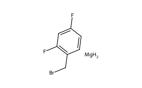 Fc1ccc(CBr)c(F)c1.[MgH2]